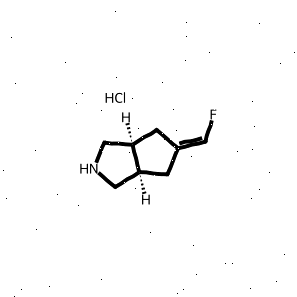 Cl.F/C=C1/C[C@H]2CNC[C@H]2C1